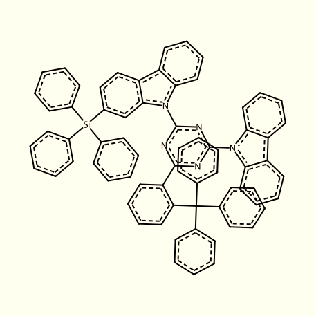 c1ccc(C(c2ccccc2)(c2ccccc2)c2ccccc2-c2nc(-n3c4ccccc4c4ccccc43)nc(-n3c4ccccc4c4ccc([Si](c5ccccc5)(c5ccccc5)c5ccccc5)cc43)n2)cc1